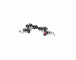 COC(=O)N[C@H](C(=O)N1CCC[C@H]1c1ncc(-c2ccc3cc(-c4cnc5nc([C@@H]6CCCN6C(=O)[C@@H](NC(=O)OC)C6CCCC6)[nH]c5c4)ccc3c2)[nH]1)C1CCCC1